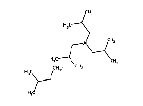 CC(C)[CH2][Al]([CH2]C(C)C)[CH2]C(C)C.[CH2]CC(C)C